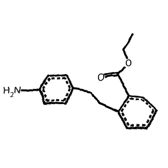 CCOC(=O)c1ccccc1CCc1ccc(N)cc1